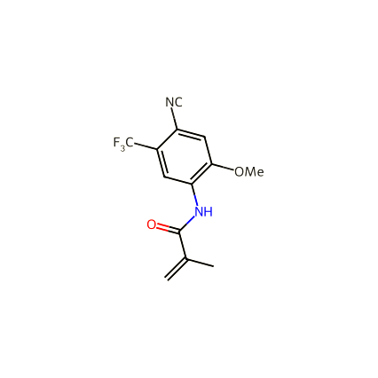 [C-]#[N+]c1cc(OC)c(NC(=O)C(=C)C)cc1C(F)(F)F